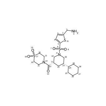 NCc1ccc(S(=O)(=O)N2C[C@@H](C(=O)N3CCS(=O)(=O)CC3)C[C@@H](C3CCCCC3)C2)s1